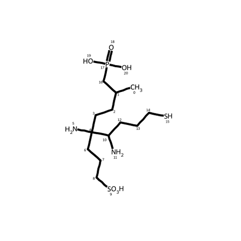 CC(CCC(N)(CCCS(=O)(=O)O)C(N)CCCS)CP(=O)(O)O